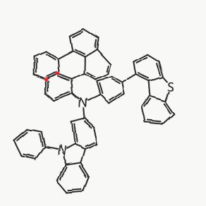 c1ccc(-c2cccc3cccc(-c4ccccc4N(c4ccc(-c5cccc6sc7ccccc7c56)cc4)c4ccc5c6ccccc6n(-c6ccccc6)c5c4)c23)cc1